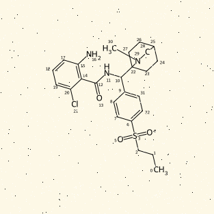 CCCS(=O)(=O)c1ccc(C(NC(=O)c2c(N)cccc2Cl)C23CCC(CC2)CN3C)cc1